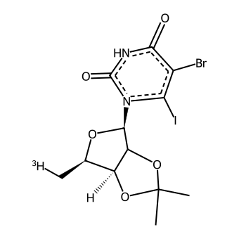 [3H]C[C@H]1O[C@@H](n2c(I)c(Br)c(=O)[nH]c2=O)C2OC(C)(C)O[C@H]21